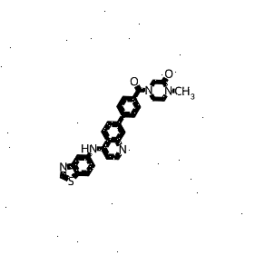 CN1CCN(C(=O)c2ccc(-c3ccc4c(Nc5ccc6scnc6c5)ccnc4c3)cc2)CC1=O